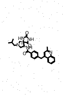 Cc1cc(Cc2ccc(C(=O)N[C@@H]3CN(CC(C)C)C[C@]34NC(=O)NC4=O)cc2)c2ccccc2n1